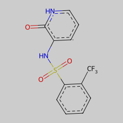 O=c1[nH]cc[c]c1NS(=O)(=O)c1ccccc1C(F)(F)F